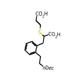 CCCCCCCCCCCCc1ccccc1CC(SCCC(=O)O)C(=O)O